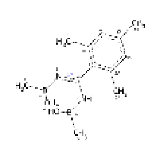 CB(O)/N=C(\NB(C)O)c1c(C)cc(C)cc1C